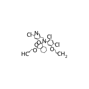 C#CCOC(=O)C1=C(C(=O)N(Cc2ccc(Cl)nc2)c2cc(OCC=C)c(Cl)cc2Cl)CCCC1